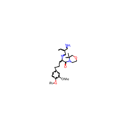 C\C=C(C=N)/C=N/C(=C/CCc1ccc(OC(C)C)c(OC)c1)C(=O)N1CCOCC1(C)C